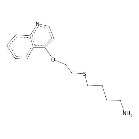 NCCCCSCCOc1ccnc2ccccc12